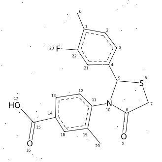 Cc1ccc(C2SCC(=O)N2c2ccc(C(=O)O)cc2C)cc1F